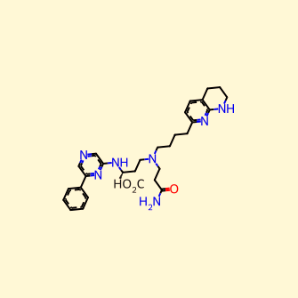 NC(=O)CCN(CCCCc1ccc2c(n1)NCCC2)CC[C@H](Nc1cncc(-c2ccccc2)n1)C(=O)O